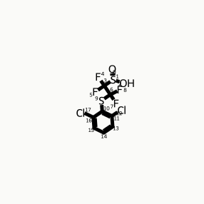 O=S(O)C(F)(F)C(F)(F)Sc1c(Cl)cccc1Cl